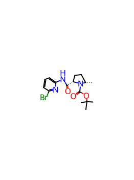 C[C@H]1CC[C@@H](C(=O)Nc2cccc(Br)n2)N1C(=O)OC(C)(C)C